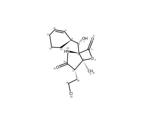 C[C@@]12OC(=O)[C@]1([C@@H](O)[C@@H]1C=CCCC1)NC(=O)[C@H]2CCCl